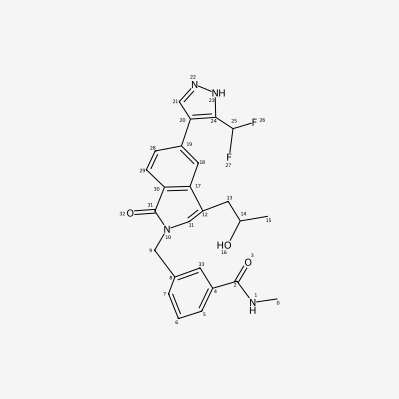 CNC(=O)c1cccc(Cn2cc(CC(C)O)c3cc(-c4cn[nH]c4C(F)F)ccc3c2=O)c1